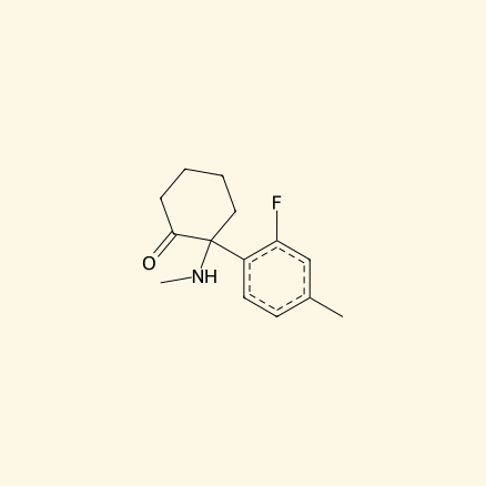 CNC1(c2ccc(C)cc2F)CCCCC1=O